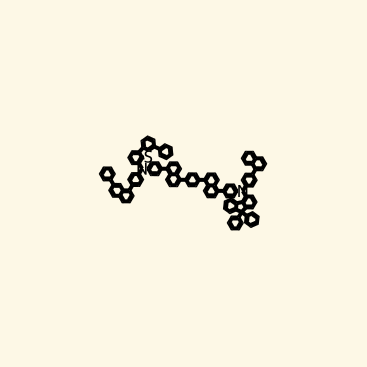 c1ccc(-c2ccc3cccc(-c4ccc(N(c5ccc(-c6cccc7c(-c8ccc(-c9cccc%10c(-c%11ccc(N(c%12ccc(-c%13cccc%14ccccc%13%14)cc%12)c%12cccc%13c%12-c%12ccccc%12C%13(c%12ccccc%12)c%12ccccc%12)cc%11)cccc9%10)cc8)cccc67)cc5)c5cccc6c5sc5c(-c7ccccc7)cccc56)cc4)c3c2)cc1